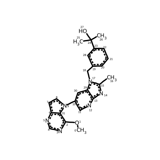 COc1ncnc2ccn(-c3cnc4nc(C)n(Cc5cccc(C(C)(C)O)c5)c4c3)c12